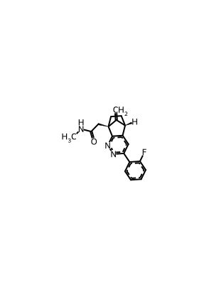 C=C1[C@@H]2CC[C@@]1(CC(=O)NC)c1nnc(-c3ccccc3F)cc12